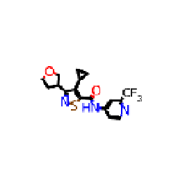 O=C(Nc1ccnc(C(F)(F)F)c1)c1snc(C2CCOC2)c1C1CC1